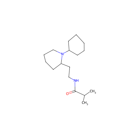 CC(C)C(=O)NCCC1CCCCN1C1CCCCC1